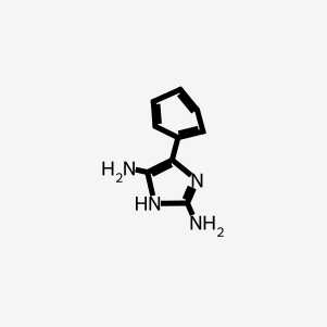 Nc1nc(-c2ccccc2)c(N)[nH]1